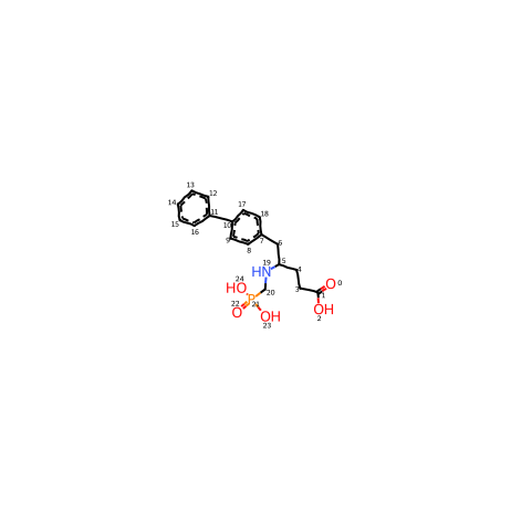 O=C(O)CCC(Cc1ccc(-c2ccccc2)cc1)NCP(=O)(O)O